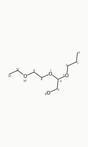 CCCOC(C[O])OCCOCC